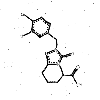 O=C(O)[C@H]1CCCc2nn(Cc3ccc(Cl)c(Cl)c3)c(=O)n21